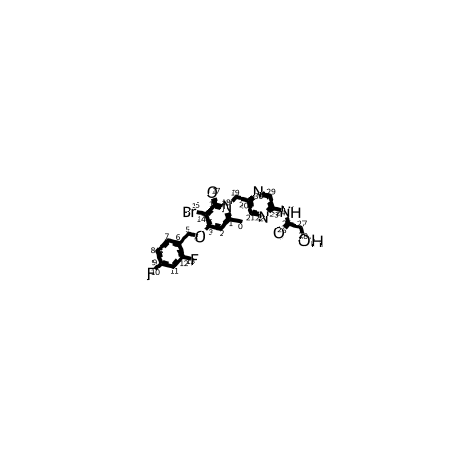 Cc1cc(OCc2ccc(F)cc2F)c(Br)c(=O)n1Cc1cnc(NC(=O)CO)cn1